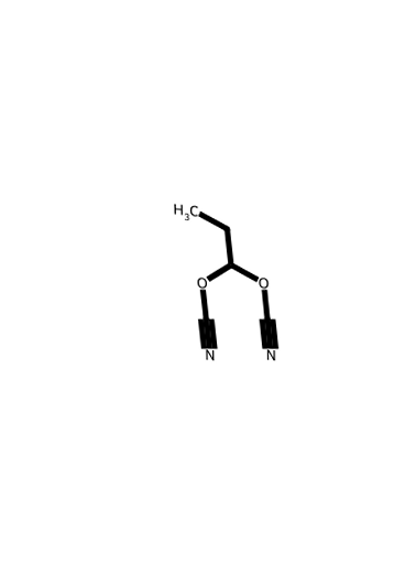 CCC(OC#N)OC#N